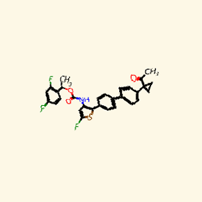 CC(=O)C1(c2ccc(-c3ccc(-c4sc(F)cc4NC(=O)O[C@H](C)c4ccc(F)cc4F)cc3)cc2)CC1